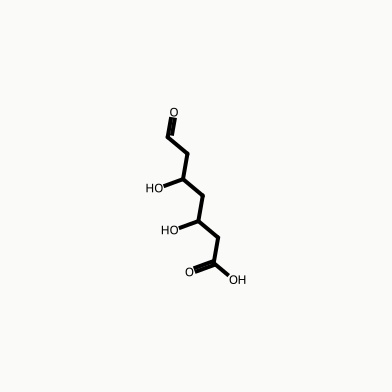 O=CCC(O)CC(O)CC(=O)O